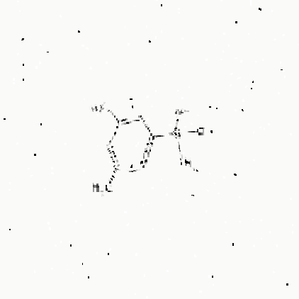 CCC[Si](C)(Cl)c1cc(C)cc(C)c1